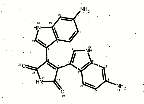 Nc1ccc2c(C3=C(c4c[nH]c5cc(N)ccc45)C(=O)NC3=O)c[nH]c2c1